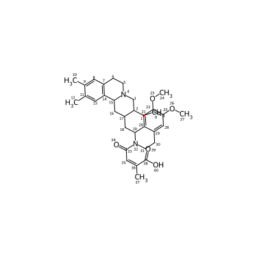 CCC1CN2CCc3cc(C)c(C)cc3C2CC1CC1c2cc(OC)c(OC)cc2CCN1C(=O)/C=C(/C)C(=O)O